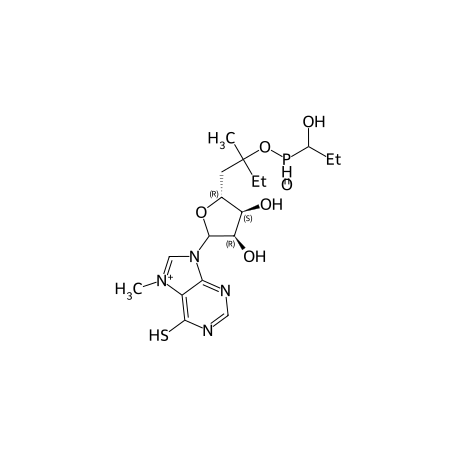 CCC(O)[PH](=O)OC(C)(CC)C[C@H]1OC(n2c[n+](C)c3c(S)ncnc32)[C@H](O)[C@@H]1O